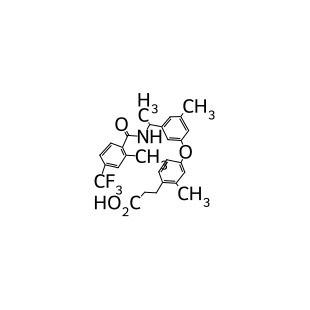 Cc1cc(Oc2ccc(CCC(=O)O)c(C)c2)cc([C@@H](C)NC(=O)c2ccc(C(F)(F)F)cc2C)c1